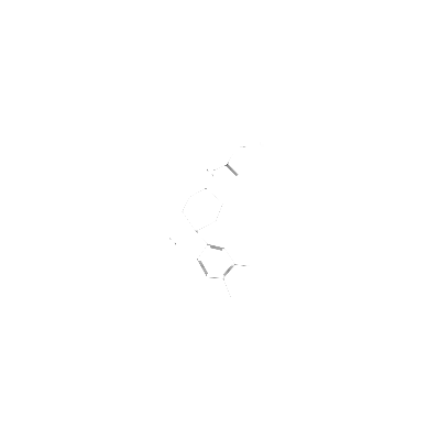 Cc1ccc([C@]2(C#N)CC[C@@H](NC(=O)OC(C)(C)C)CC2)cc1F